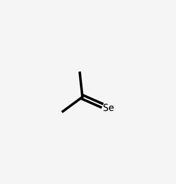 CC(C)=[Se]